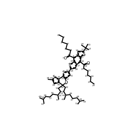 CCCCCCC(=O)c1c2cc(C(C)(C)C)sc2c(C(=O)CCCCCC)c2cc(-c3cc4c(s3)-c3sc(C)cc3C(CCC(C)CCCC(C)C)(CCC(C)CCCC(C)C)O4)sc12